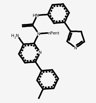 C=C(Nc1cccc(C2=CN=CC2)c1)N(CCCCC)c1nc(-c2cccc(C)c2)ccc1N